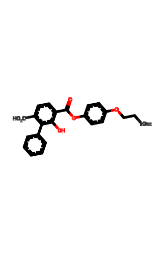 CCCCCCCCCCCCOc1ccc(OC(=O)c2ccc(C(=O)O)c(-c3ccccc3)c2O)cc1